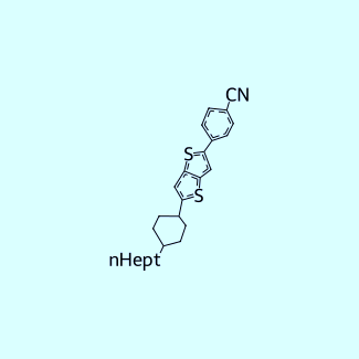 CCCCCCCC1CCC(c2cc3sc(-c4ccc(C#N)cc4)cc3s2)CC1